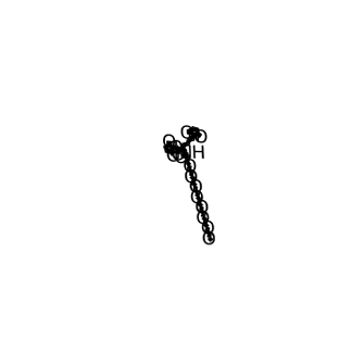 COCCOCCOCCOCCOCCOCCOCCOCCC(=O)NC(CCCCN1C(=O)C=CC1=O)C(=O)ON1C(=O)CCC1=O